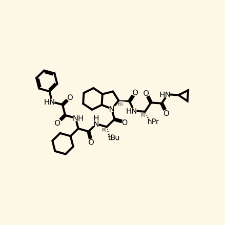 CCC[C@H](NC(=O)[C@@H]1CC2CCCCC2N1C(=O)[C@@H](NC(=O)C(NC(=O)C(=O)Nc1ccccc1)C1CCCCC1)C(C)(C)C)C(=O)C(=O)NC1CC1